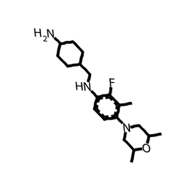 Cc1c(N2CC(C)OC(C)C2)ccc(NCC2CCC(N)CC2)c1F